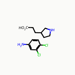 Nc1ccc(Cl)c(Cl)c1.O=C(O)CCC1CCNC1